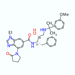 CCn1cnc2c(N3CCCC3=O)cc(C(=O)N[C@@H](Cc3ccccc3)[C@H](O)CNC(C)(C)c3cccc(OC)c3)cc21